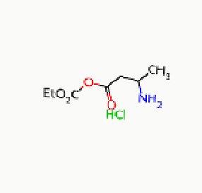 CCOC(=O)OC(=O)CC(C)N.Cl